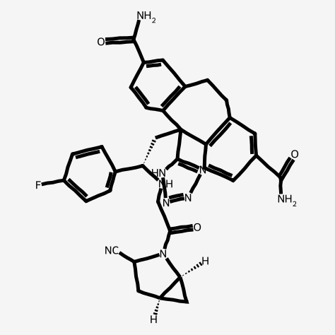 N#CC1C[C@@H]2C[C@@H]2N1C(=O)CN[C@@H](CC1(c2nnn[nH]2)c2ccc(C(N)=O)cc2CCc2cc(C(N)=O)ccc21)c1ccc(F)cc1